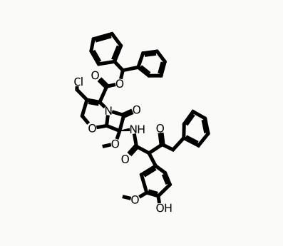 COc1cc(C(C(=O)Cc2ccccc2)C(=O)N[C@]2(OC)C(=O)N3C(C(=O)OC(c4ccccc4)c4ccccc4)=C(CCl)COC32)ccc1O